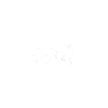 CCc1c(C(F)(F)F)n(C)c(=O)n(-c2cc(S(=O)(=O)Cl)c(Cl)cc2F)c1=O